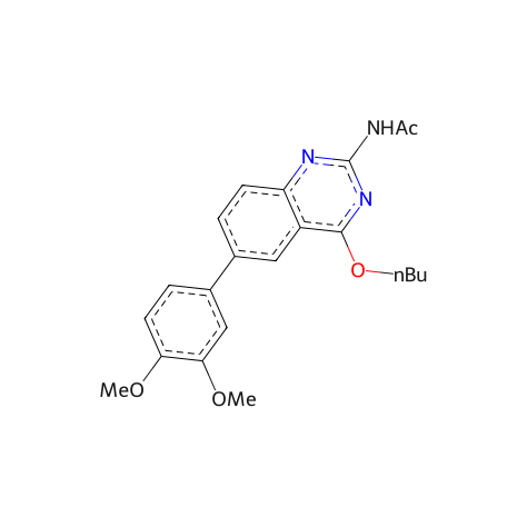 CCCCOc1nc(NC(C)=O)nc2ccc(-c3ccc(OC)c(OC)c3)cc12